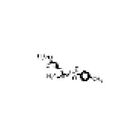 CC[C@H](COS(=O)(=O)c1ccc(C)cc1)O/C=C/C(=O)OC